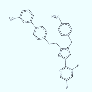 O=C(O)c1ccc(Cn2cc(-c3ccc(F)cc3F)nc2CCc2ccc(-c3cccc(C(F)(F)F)c3)cc2)cc1